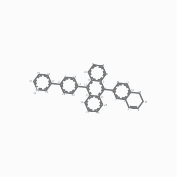 C1=Cc2cc(-c3c4ccccc4c(-c4ccc(-c5cccnc5)cc4)c4ccccc34)ccc2CC1